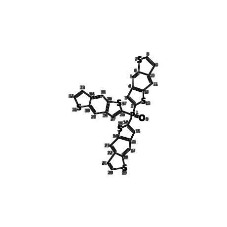 O=P(c1cc2cc3sccc3cc2s1)(c1cc2cc3sccc3cc2s1)c1cc2cc3sccc3cc2s1